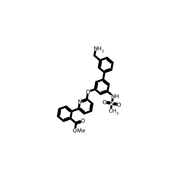 COC(=O)c1ccccc1-c1cccc(Oc2cc(NS(C)(=O)=O)cc(-c3cccc(CN)c3)c2)n1